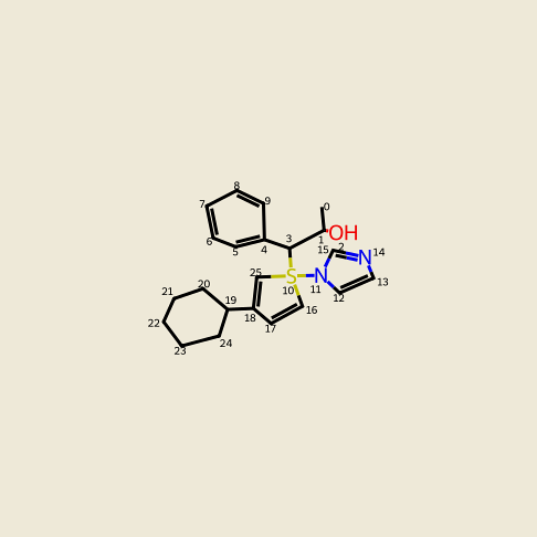 CC(O)C(c1ccccc1)S1(n2ccnc2)C=CC(C2CCCCC2)=C1